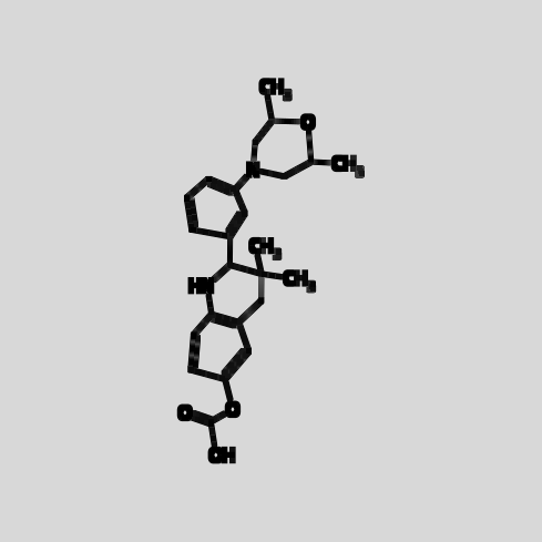 CC1CN(c2cccc(C3Nc4ccc(OC(=O)O)cc4CC3(C)C)c2)CC(C)O1